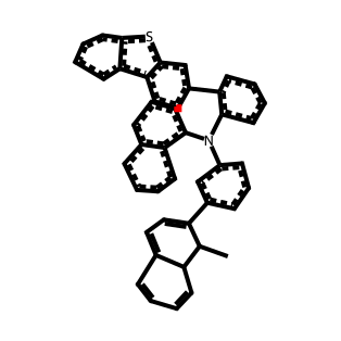 CC1C(c2cccc(N(c3ccccc3-c3ccc4c(c3)sc3ccccc34)c3cccc4ccccc34)c2)=CC=C2C=CC=CC21